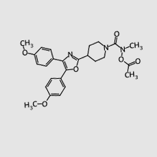 COc1ccc(-c2nc(C3CCN(C(=O)N(C)OC(C)=O)CC3)oc2-c2ccc(OC)cc2)cc1